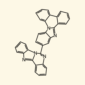 c1ccc2c(c1)nc(-c1ccc3c(c1)nc1c4ccccc4c4ccccc4n31)n1c3ccccc3nc21